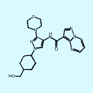 O=C(Nc1cn(C2CCC(CO)CC2)nc1N1CCOCC1)c1cnn2cccnc12